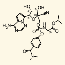 CC(C)OC(=O)[C@H](C)NP(=O)(OC[C@@]1(C#N)O[C@@H](c2ccc3c(N)ncnn23)[C@H](O)[C@@H]1O)Oc1ccc(C(=O)N(C)C)cc1